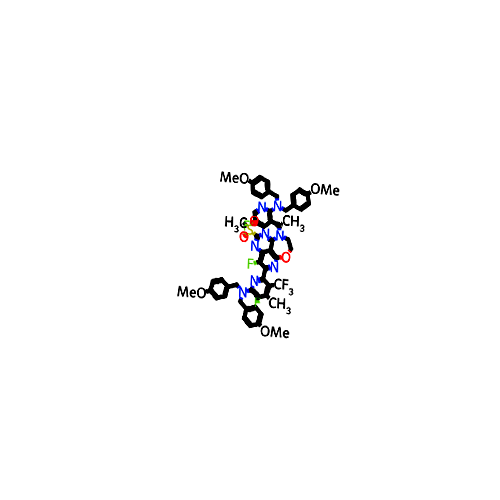 COc1ccc(CN(Cc2ccc(OC)cc2)c2ncc(F)cc2[C@@H](C)N2CCOc3nc(-c4nc(N(Cc5ccc(OC)cc5)Cc5ccc(OC)cc5)c(F)c(C)c4C(F)(F)F)c(F)c4nc(S(C)(=O)=O)nc2c34)cc1